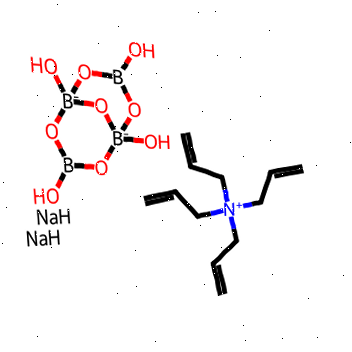 C=CC[N+](CC=C)(CC=C)CC=C.OB1O[B-]2(O)OB(O)O[B-](O)(O1)O2.[NaH].[NaH]